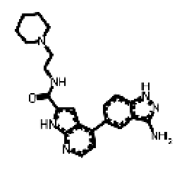 Nc1n[nH]c2ccc(-c3ccnc4[nH]c(C(=O)NCCN5CCCCC5)cc34)cc12